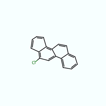 Clc1cc2c3ccccc3ccc2c2ccccc12